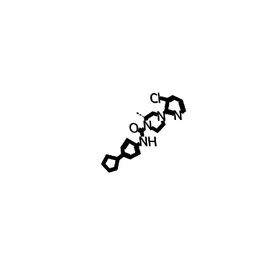 C[C@@H]1CN(c2ncccc2Cl)CCN1C(=O)Nc1ccc(C2CCCC2)cc1